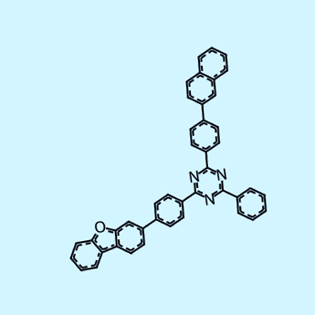 c1ccc(-c2nc(-c3ccc(-c4ccc5ccccc5c4)cc3)nc(-c3ccc(-c4ccc5c(c4)oc4ccccc45)cc3)n2)cc1